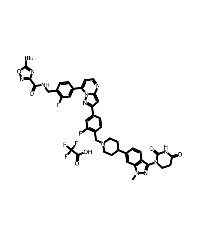 Cn1nc(N2CCC(=O)NC2=O)c2ccc(C3CCN(Cc4ccc(-c5cc6nccc(-c7ccc(CNC(=O)c8noc(C(C)(C)C)n8)c(F)c7)n6n5)cc4F)CC3)cc21.O=C(O)C(F)(F)F